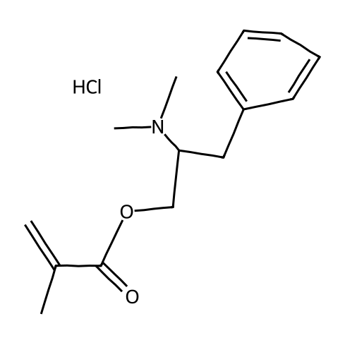 C=C(C)C(=O)OCC(Cc1ccccc1)N(C)C.Cl